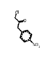 O=C(CCl)Cc1ccc([N+](=O)[O-])cc1